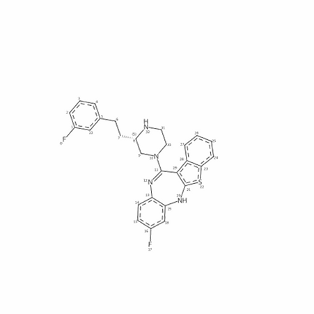 Fc1cccc(CC[C@H]2CN(C3=Nc4ccc(F)cc4Nc4sc5ccccc5c43)CCN2)c1